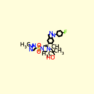 Cc1cc2c(cnn2-c2ccc(F)cc2)cc1[C@H]1CN(S(=O)(=O)c2cnn(C)n2)CCN1CC(C)(C)CO